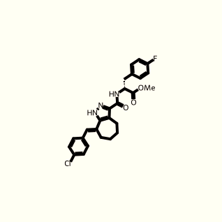 COC(=O)[C@@H](Cc1ccc(F)cc1)NC(=O)c1n[nH]c2c1CCCC/C2=C\c1ccc(Cl)cc1